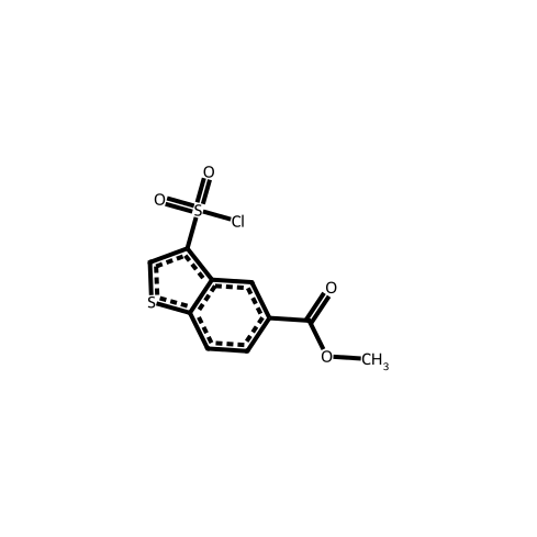 COC(=O)c1ccc2scc(S(=O)(=O)Cl)c2c1